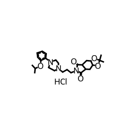 CC(C)Oc1ccccc1N1CCN(CCCN2C(=O)C3CC4OC(C)(C)OC4CC3C2=O)CC1.Cl